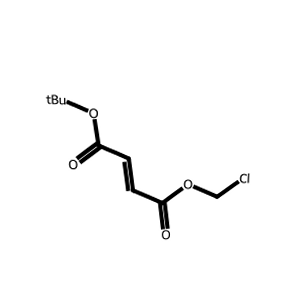 CC(C)(C)OC(=O)/C=C/C(=O)OCCl